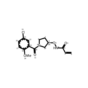 C=CC(=O)NO[C@@H]1CCN(C(=O)c2cc(Cl)ccc2OC)C1